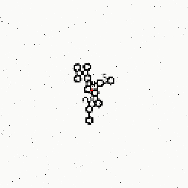 O=c1c2ccc(-c3ccccc3)cc2c2cccc3c4cc(-c5cc6c(cc5-n5c7ccccc7c7cc8c(cc75)-c5ccccc5C85c7ccccc7-c7ccccc75)sc5ccccc56)ccc4n1c23